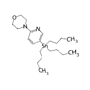 CCC[CH2][Sn]([CH2]CCC)([CH2]CCC)[c]1ccc(N2CCOCC2)nc1